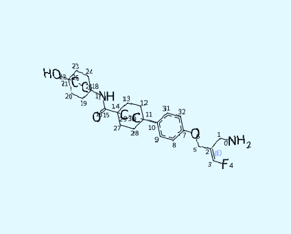 NC/C(=C\F)COc1ccc(C23CCC(C(=O)NC45CCC(O)(CC4)CC5)(CC2)CC3)cc1